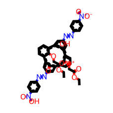 CCOC(=O)COc1c2cccc1c1cc(N=Nc3ccc([N+](=O)[O-])cc3)cc(c1O)c1c(=[O+]CC(=O)OCC)c(c3c(=O)c2=CC(N=Nc2ccc(N([O-])O)cc2)=C3)C=CC=1